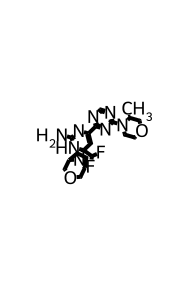 C[C@H]1COCCN1c1ncnc(C2=CC(C(F)F)(N3C4CCC3COC4)NC(N)=N2)n1